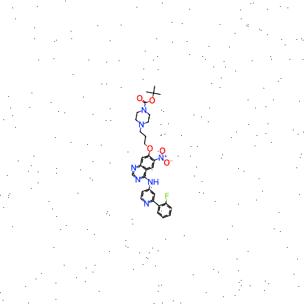 CC(C)(C)OC(=O)N1CCN(CCCOc2cc3ncnc(Nc4ccnc(-c5ccccc5F)c4)c3cc2[N+](=O)[O-])CC1